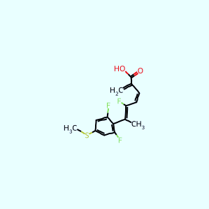 C=C(/C=C\C(F)=C(/C)c1c(F)cc(SC)cc1F)C(=O)O